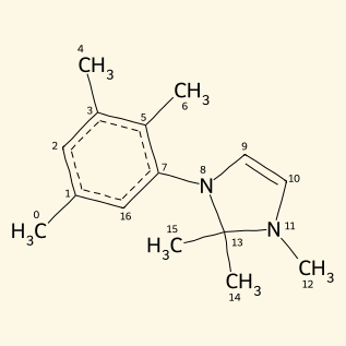 Cc1cc(C)c(C)c(N2C=CN(C)C2(C)C)c1